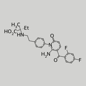 CC[C@](C)(NCCc1ccc(-n2c(N)c(C(=O)c3ccc(F)cc3F)ccc2=O)cc1)C(=O)O